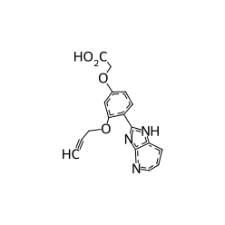 C#CCOc1cc(OCC(=O)O)ccc1-c1nc2ncccc2[nH]1